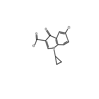 O=C(Cl)c1cn(C2CC2)c2ccc(Cl)cc2c1=O